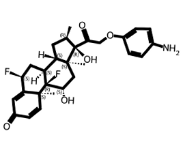 C[C@@H]1C[C@H]2[C@@H]3C[C@H](F)C4=CC(=O)C=C[C@]4(C)[C@@]3(F)[C@@H](O)C[C@]2(C)[C@@]1(O)C(=O)COc1ccc(N)cc1